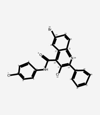 O=C(Nc1[c]cc(Cl)cc1)c1c(Cl)c(-c2ccccc2)nc2ccc(Br)cc12